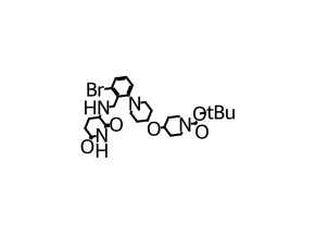 CC(C)(C)OC(=O)N1CCC(OC2CCN(c3cccc(Br)c3CNC3CCC(=O)NC3=O)CC2)CC1